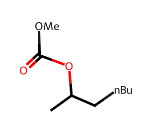 CCCCCC(C)OC(=O)OC